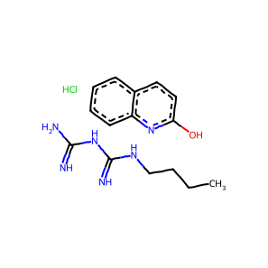 CCCCNC(=N)NC(=N)N.Cl.Oc1ccc2ccccc2n1